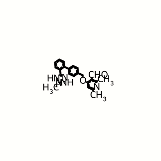 Cc1cc(OCc2ccc(-c3ccccc3C3=NNN(C)N3)cc2)c(C=O)c(C)n1